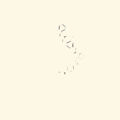 COc1cc(CC(=O)N2CCCC2CN[C@H]2CC[C@@H](C(=O)OC)CC2)ccc1NC(=O)Nc1ccccc1C